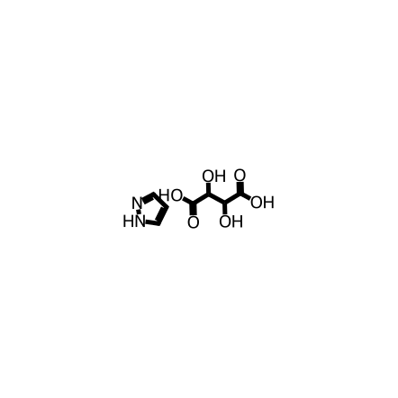 O=C(O)C(O)C(O)C(=O)O.c1cn[nH]c1